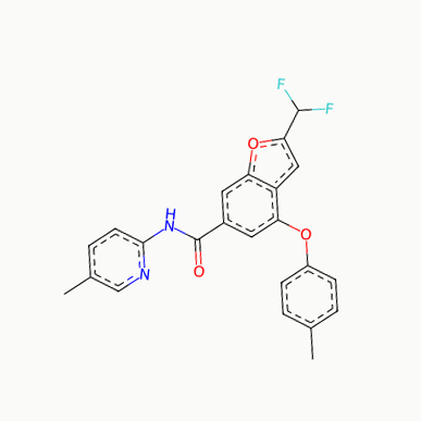 Cc1ccc(Oc2cc(C(=O)Nc3ccc(C)cn3)cc3oc(C(F)F)cc23)cc1